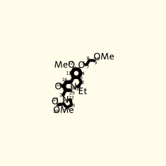 CCC1Cc2cc(OCCCOC)c(OC)cc2-c2cc(=O)c(CN3CCCC3C(=O)OC)cn21